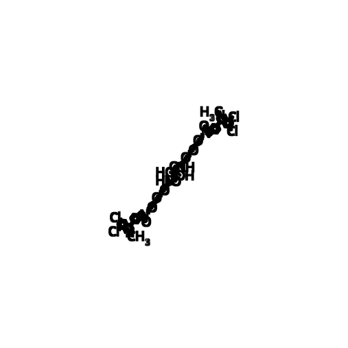 CN1Cc2c(Cl)cc(Cl)cc2C(c2ccc3c(c2)C(=O)N(CCOCCOCCOCCNC(=O)[C@@H](O)[C@H](O)C(=O)NCCOCCOCCOCCN2Cc4ccc(C5CN(C)Cc6c(Cl)cc(Cl)cc65)cc4C2=O)C3)C1